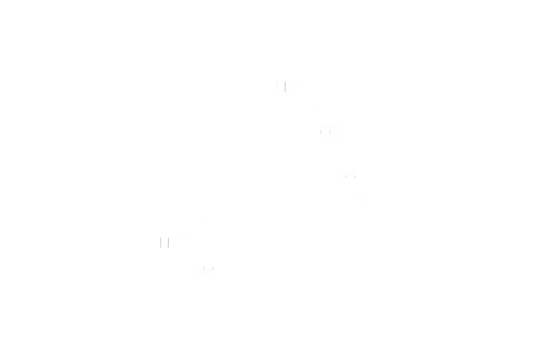 COc1cc(CCOS(C)(=O)=O)ccc1OS(C)(=O)=O